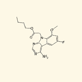 CCCCOC(=O)Cn1c2ncnc(N)c2c2cc(F)cc(OC)c21